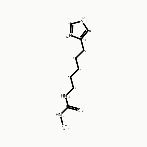 CNC(=S)NCCCCCc1c[nH]cn1